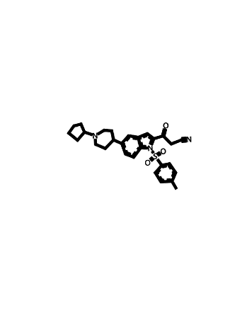 Cc1ccc(S(=O)(=O)n2c(C(=O)CC#N)cc3cc(C4CCN(C5CCCC5)CC4)ccc32)cc1